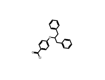 O=C(Cl)c1ccc(OC(Cc2ccccc2)Cc2ccccc2)cc1